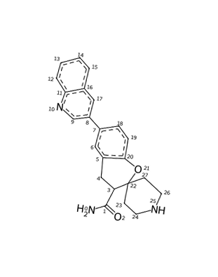 NC(=O)C1Cc2cc(-c3cnc4ccccc4c3)ccc2OC12CCNCC2